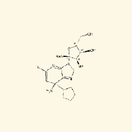 CN[C@@]1(N2CN=C3C2=NC(I)=NC3(N)C2CCCC2)O[C@H](CO)[C@@H](O)[C@H]1O